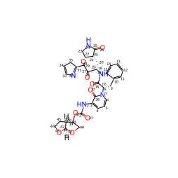 O=C(Nc1cccn([C@@H](Cc2ccccc2)C(=O)N[C@@H](C[C@@H]2CCNC2=O)C(=O)C(=O)C2=NC=CC2)c1=O)O[C@H]1CO[C@H]2OCC[C@H]21